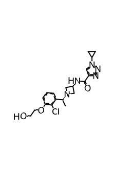 CC(c1cccc(OCCO)c1Cl)N1CC(NC(=O)c2cn(C3CC3)nn2)C1